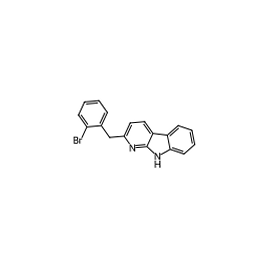 Brc1ccccc1Cc1ccc2c(n1)[nH]c1ccccc12